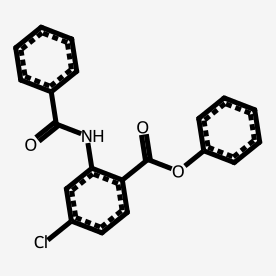 O=C(Nc1cc(Cl)ccc1C(=O)Oc1ccccc1)c1ccccc1